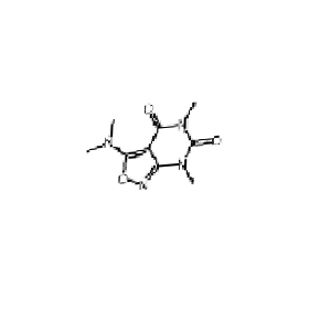 CN(C)c1onc2c1c(=O)n(C)c(=O)n2C